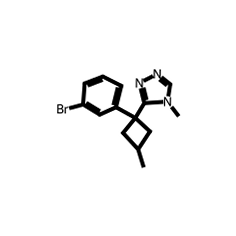 CC1CC(c2cccc(Br)c2)(c2nncn2C)C1